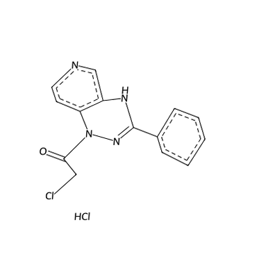 Cl.O=C(CCl)N1N=C(c2ccccc2)Nc2cnccc21